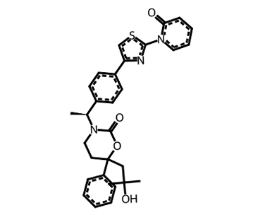 C[C@@H](c1ccc(-c2csc(-n3ccccc3=O)n2)cc1)N1CCC(CC(C)(C)O)(c2ccccc2)OC1=O